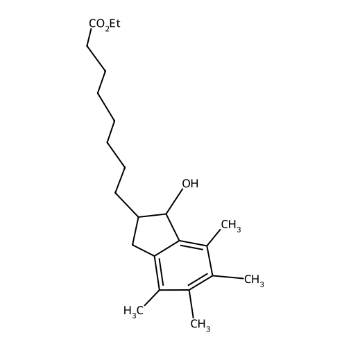 CCOC(=O)CCCCCCCC1Cc2c(C)c(C)c(C)c(C)c2C1O